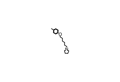 Cc1ccc(OCCCCCCN2CCCC2)cc1